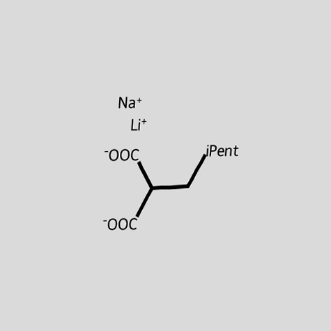 CCCC(C)CC(C(=O)[O-])C(=O)[O-].[Li+].[Na+]